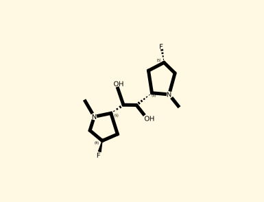 CN1C[C@H](F)C[C@H]1C(O)C(O)[C@@H]1C[C@H](F)CN1C